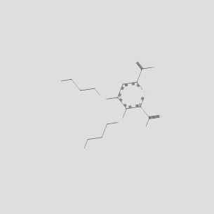 CCCCOc1cc(C(C)=O)nc(C(=O)O)c1OCCCC